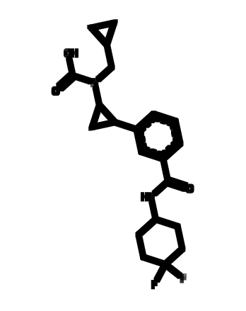 O=C(NC1CCC(F)(F)CC1)c1cccc(C2CC2N(CC2CC2)C(=O)O)c1